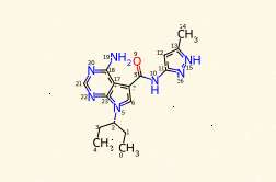 CCC(CC)n1cc(C(=O)Nc2cc(C)[nH]n2)c2c(N)ncnc21